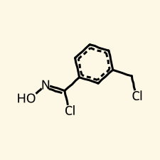 O/N=C(\Cl)c1cccc(CCl)c1